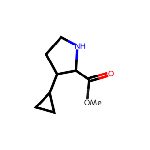 COC(=O)C1NCCC1C1CC1